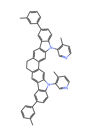 Cc1cccc(-c2ccc3c(c2)c2cc4c(cc2n3-c2cnccc2C)-c2cc3c(cc2CC4)c2cc(-c4cccc(C)c4)ccc2n3-c2cnccc2C)c1